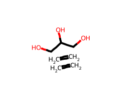 C=C.C=C.OCC(O)CO